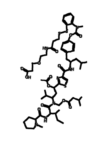 CCC(C)C(NC(=O)C1CCCCN1C)C(=O)N(COC(=O)CC(C)C)C(CC(OC(C)=O)c1nc(C(=O)NC(Cc2ccc(OC(=O)N(C)c3ccccc3SSCCC(=O)NCCOCCC(=O)O)cc2)CC(C)C)cs1)C(C)C